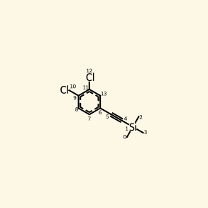 C[Si](C)(C)C#Cc1ccc(Cl)c(Cl)c1